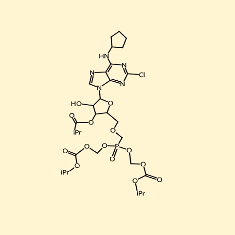 CC(C)OC(=O)OCOP(=O)(COCC1OC(n2cnc3c(NC4CCCC4)nc(Cl)nc32)C(O)C1OC(=O)C(C)C)OCOC(=O)OC(C)C